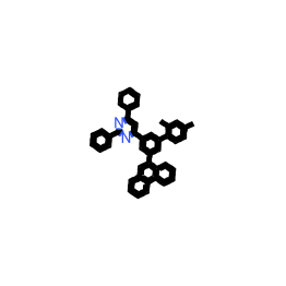 Cc1ccc(-c2cc(-c3cc(C4=CC=CCC4)nc(-c4ccccc4)n3)cc(-c3cc4ccccc4c4ccccc34)c2)c(C)c1